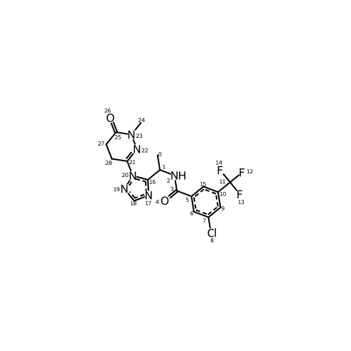 CC(NC(=O)c1cc(Cl)cc(C(F)(F)F)c1)c1ncnn1C1=NN(C)C(=O)CC1